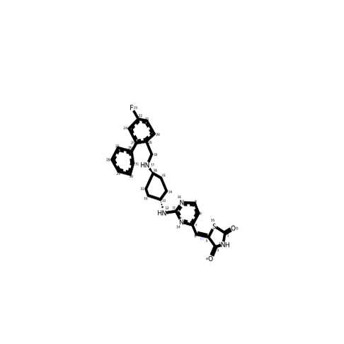 O=C1NC(=O)/C(=C/c2ccnc(N[C@H]3CC[C@H](NCc4ccc(F)cc4-c4ccccc4)CC3)n2)S1